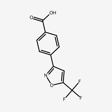 O=C(O)c1ccc(-c2cc(C(F)(F)F)on2)cc1